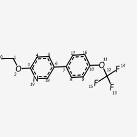 CCOc1ccc(-c2ccc(OC(F)(F)F)cc2)cn1